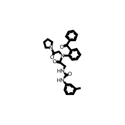 Cc1cccc(NC(=O)NCC(=O)N(CC(=O)N2CCCC2)c2ccccc2C(=O)c2ccccc2)c1